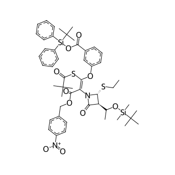 CCS[C@@H]1[C@@H](C(C)O[Si](C)(C)C(C)(C)C)C(=O)N1C(C(=O)OCc1ccc([N+](=O)[O-])cc1)=C(Oc1cccc(C(=O)O[Si](c2ccccc2)(c2ccccc2)C(C)(C)C)c1)SC(=O)C(C)(C)C